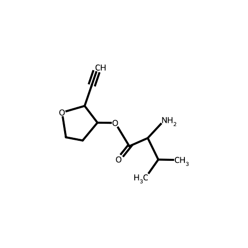 C#CC1OCCC1OC(=O)C(N)C(C)C